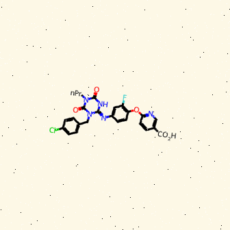 CCCn1c(=O)[nH]/c(=N\c2ccc(Oc3ccc(C(=O)O)cn3)c(F)c2)n(Cc2ccc(Cl)cc2)c1=O